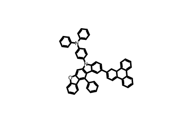 C1=C(c2ccc3c(c2)c2c(-c4ccccc4)c4c(cc2n3-c2ccc(N(c3ccccc3)c3ccccc3)cc2)oc2ccccc24)CC2C(=C1)c1ccccc1-c1ccccc12